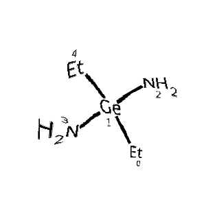 C[CH2][Ge]([NH2])([NH2])[CH2]C